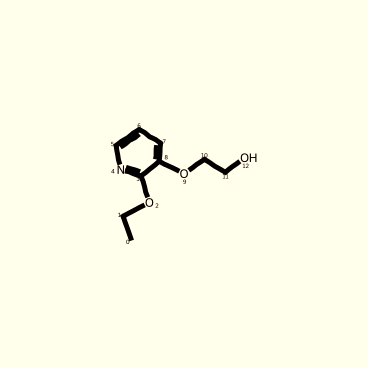 CCOc1ncccc1OCCO